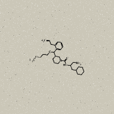 C=CCc1ccccc1C(OCCCOC)C1CCCN(C(=O)NC(CN)CC2CCCCC2)C1